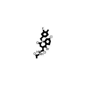 CC(=O)NNC(=O)C1=C(Br)c2ccc(Cl)cc2N(Cc2ccc(C)c(F)c2)C(=O)C1